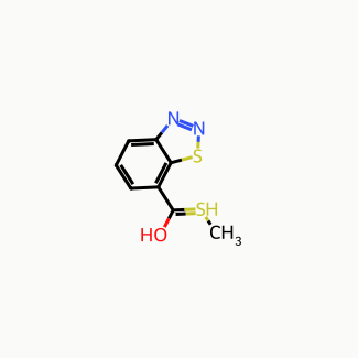 C[SH]=C(O)c1cccc2nnsc12